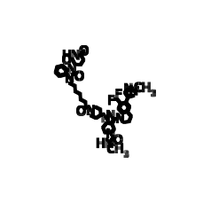 CNC(=O)N1CCc2c(c(N3CCCc4cc(-c5cnn(C)c5)c(C(F)F)cc43)nn2C2CCN(C(=O)CCCCCCn3c(=O)n(C4CCC(=O)NC4=O)c4ccccc43)CC2)C1